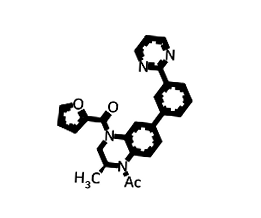 CC(=O)N1c2ccc(-c3cccc(-c4ncccn4)c3)cc2N(C(=O)c2ccco2)C[C@@H]1C